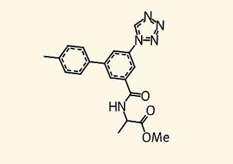 COC(=O)C(C)NC(=O)c1cc(-c2ccc(C)cc2)cc(-n2cnnn2)c1